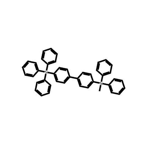 C[Si](c1ccccc1)(c1ccccc1)c1ccc(-c2ccc([Si](c3ccccc3)(c3ccccc3)c3ccccc3)cc2)cc1